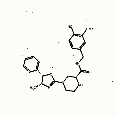 COc1cc(CNC(=O)[C@@H]2CN(C3=N[C@@H](C)[C@H](c4ccccc4)O3)CCN2)ccc1C#N